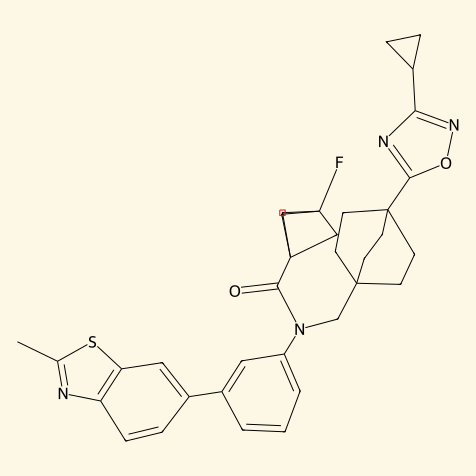 Cc1nc2ccc(-c3cccc(N(CC45CCC(c6nc(C7CC7)no6)(CC4)CC5)C(=O)C45CC(F)(C4)C5)c3)cc2s1